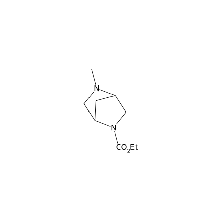 CCOC(=O)N1CC2CC1CN2C